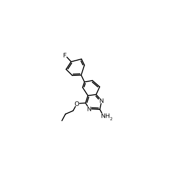 CCCOc1nc(N)nc2ccc(-c3ccc(F)cc3)cc12